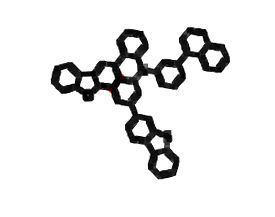 c1cc(-c2ccc3c(c2)sc2ccccc23)cc(N(c2cccc(-c3cccc4ccccc34)c2)c2ccccc2-c2ccc3oc4ccccc4c3c2)c1